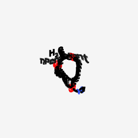 C=C=C=C=C1C(CCCCC)CC(=O)OCCCCCCCCC(C(=O)OCCCN2CCCC2)CCCCCCCCOC(=O)CC1CCCCC